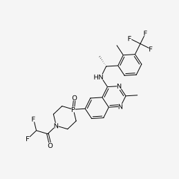 Cc1nc(N[C@H](C)c2cccc(C(F)(F)F)c2C)c2cc(P3(=O)CCN(C(=O)C(F)F)CC3)ccc2n1